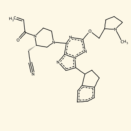 C=CC(=O)N1CCN(c2nc(OCC3CCCN3C)nn3c(C4CCc5ccccc54)cnc23)C[C@@H]1CC#N